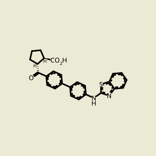 O=C(O)[C@@H]1CCC[C@H]1C(=O)c1ccc(-c2ccc(Nc3nc4ccccc4s3)cc2)cc1